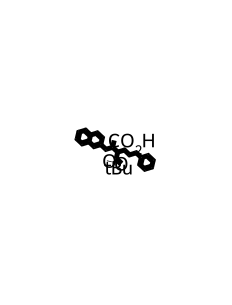 CC(C)(C)OC(=O)C(CCCc1ccccc1)C(Cc1ccc2ccccc2c1)C(=O)O